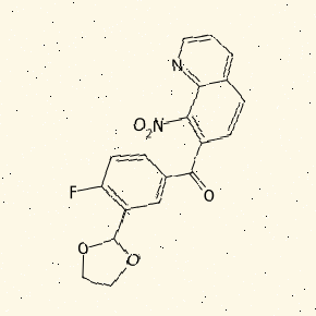 O=C(c1ccc(F)c(C2OCCO2)c1)c1ccc2cccnc2c1[N+](=O)[O-]